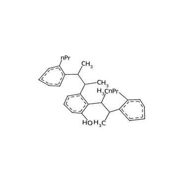 CCCc1ccccc1C(C)C(C)c1cccc(O)c1C(C)C(C)c1ccccc1CCC